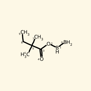 BBOC(=O)C(C)(C)CC